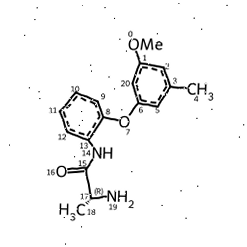 COc1cc(C)cc(Oc2ccccc2NC(=O)[C@@H](C)N)c1